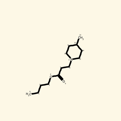 CCCCOC(=O)CCN1CCC(C)CC1